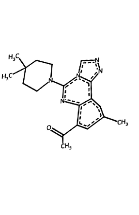 CC(=O)c1cc(C)cc2c1nc(N1CCC(C)(C)CC1)n1cnnc21